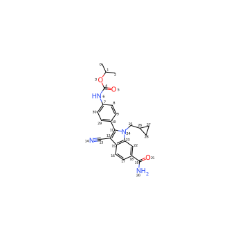 CC(C)OC(=O)Nc1ccc(-c2c(C#N)c3ccc(C(N)=O)cc3n2CC2CC2)cc1